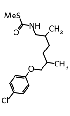 CSC(=O)NCC(C)CCC(C)COc1ccc(Cl)cc1